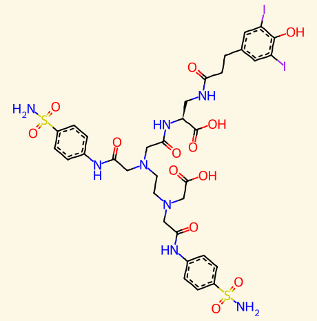 NS(=O)(=O)c1ccc(NC(=O)CN(CCN(CC(=O)Nc2ccc(S(N)(=O)=O)cc2)CC(=O)N[C@@H](CNC(=O)CCc2cc(I)c(O)c(I)c2)C(=O)O)CC(=O)O)cc1